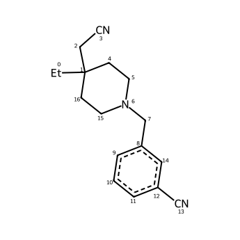 CCC1(CC#N)CCN(Cc2cccc(C#N)c2)CC1